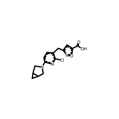 O=C(O)c1cc(Cc2ccc(N3CC4CC4C3)nc2Cl)no1